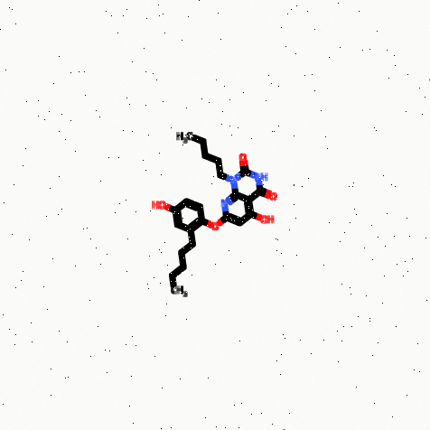 CCCCCc1cc(O)ccc1Oc1cc(O)c2c(=O)[nH]c(=O)n(CCCCC)c2n1